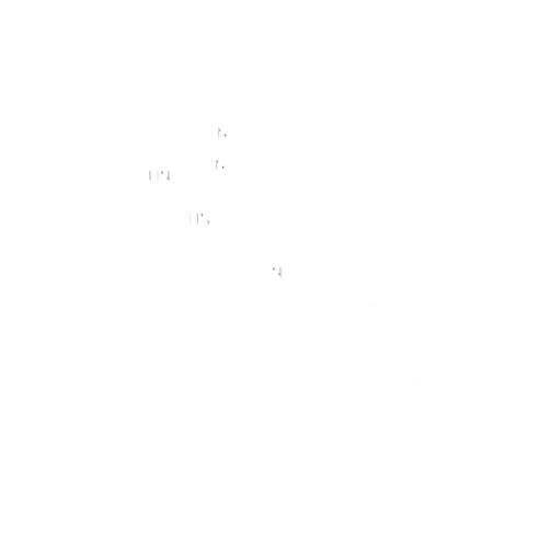 N#CN(C(=N)NCCN1CCC(C(=O)c2ccc(F)cc2)CC1)c1ccccc1